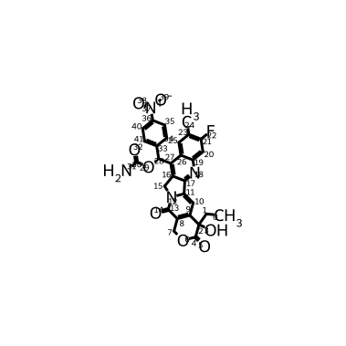 CCC1(O)C(=O)OCc2c1cc1n(c2=O)Cc2c-1nc1cc(F)c(C)cc1c2[C@@H](OC(N)=O)c1ccc([N+](=O)[O-])cc1